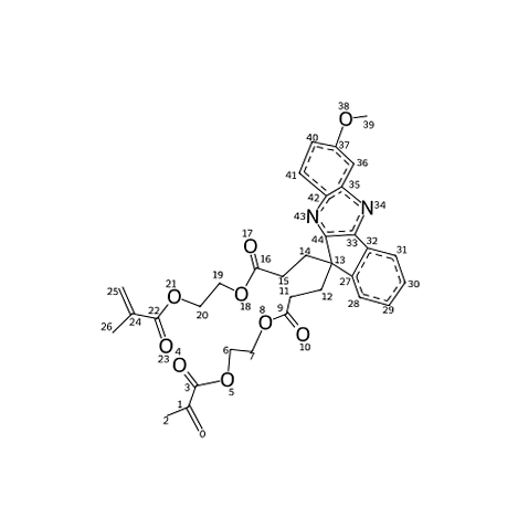 C=C(C)C(=O)OCCOC(=O)CCC1(CCC(=O)OCCOC(=O)C(=C)C)c2ccccc2-c2nc3cc(OC)ccc3nc21